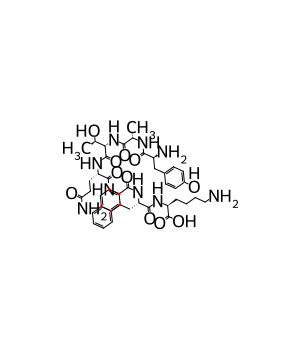 C[C@H](NC(=O)[C@@H](N)Cc1ccc(O)cc1)C(=O)N[C@H](C(=O)N[C@@H](CCC(N)=O)C(=O)N[C@@H](Cc1ccccc1)C(=O)N[C@@H](Cc1ccccc1)C(=O)N[C@@H](CCCCN)C(=O)O)[C@@H](C)O